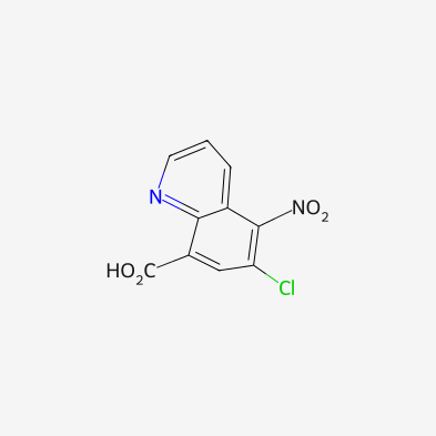 O=C(O)c1cc(Cl)c([N+](=O)[O-])c2cccnc12